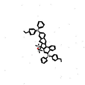 CCc1ccc(N(c2ccccc2)c2ccc3cc4c(cc3c2)C([Si](C)(C)C)([Si](C)(C)C)c2cc(N(c3ccccc3)c3ccc(CC)cc3)c3ccccc3c2-4)cc1